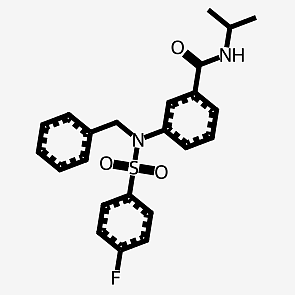 CC(C)NC(=O)c1cccc(N(Cc2ccccc2)S(=O)(=O)c2ccc(F)cc2)c1